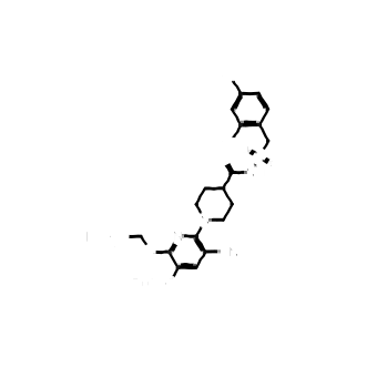 CCOC(=O)CSc1nc(N2CCC(C(=O)NS(=O)(=O)Cc3ccc(Cl)cc3Cl)CC2)c(C#N)cc1C(=O)OCC